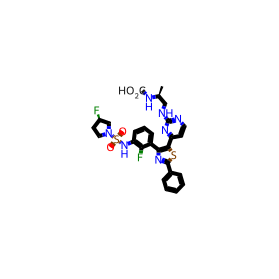 C[C@@H](CNc1nccc(-c2sc(-c3ccccc3)nc2-c2cccc(NS(=O)(=O)N3CC[C@@H](F)C3)c2F)n1)NC(=O)O